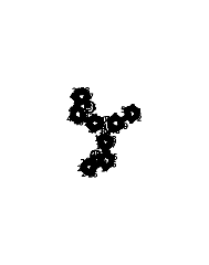 C1=CCCC(c2ccc(N(c3ccc(C4=CCCc5c4oc4ccccc54)cc3)c3ccc(C4=C5Oc6ccccc6C5CC=C4)cc3)cc2)=C1